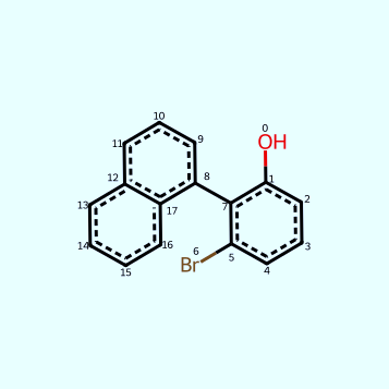 Oc1cccc(Br)c1-c1cccc2ccccc12